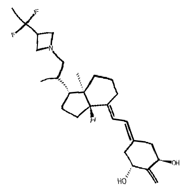 C=C1[C@H](O)CC(=C/C=C2\CCC[C@]3(C)[C@@H](C(C)CN4CC(C(C)(F)F)C4)CC[C@@H]23)C[C@H]1O